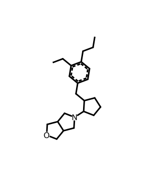 CCCc1ccc(CC2CCCC2N2CC3COCC3C2)cc1CC